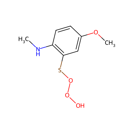 CNc1ccc(OC)cc1SOOO